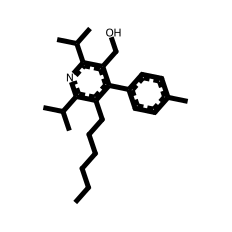 CCCCCCc1c(C(C)C)nc(C(C)C)c(CO)c1-c1ccc(C)cc1